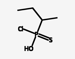 CCC(C)P(O)(=S)Cl